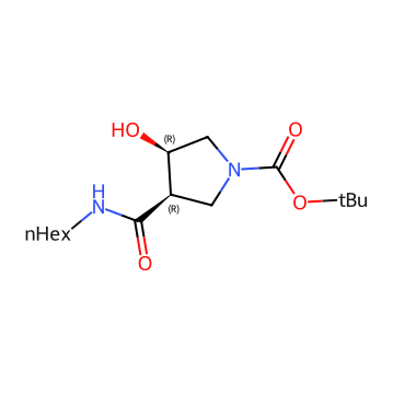 CCCCCCNC(=O)[C@@H]1CN(C(=O)OC(C)(C)C)C[C@@H]1O